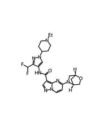 CCN1CCC(n2cc(NC(=O)c3cnn4ccc(N5C[C@H]6C[C@@H]5CO6)nc34)c(C(F)F)n2)CC1